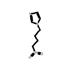 O=[SH](=O)CCCCn1ccnc1